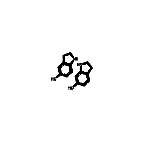 Oc1ccc2c(c1)CCN2.Oc1ccc2c(c1)NCC2